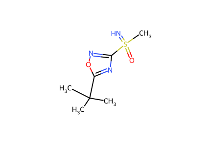 CC(C)(C)c1nc(S(C)(=N)=O)no1